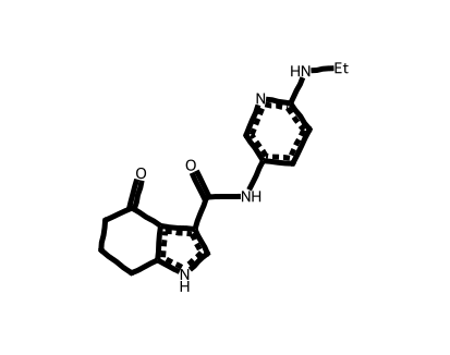 CCNc1ccc(NC(=O)c2c[nH]c3c2C(=O)CCC3)cn1